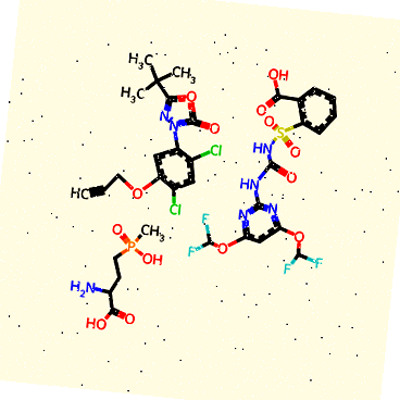 C#CCOc1cc(-n2nc(C(C)(C)C)oc2=O)c(Cl)cc1Cl.CP(=O)(O)CCC(N)C(=O)O.O=C(Nc1nc(OC(F)F)cc(OC(F)F)n1)NS(=O)(=O)c1ccccc1C(=O)O